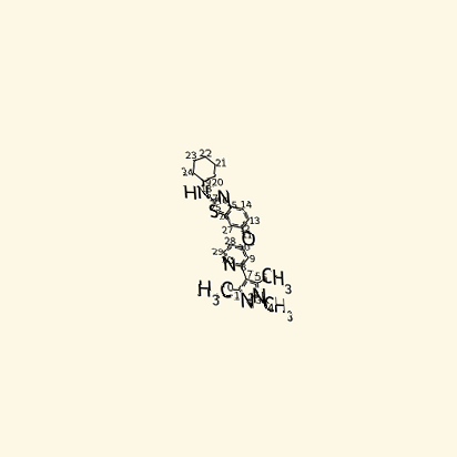 Cc1nn(C)c(C)c1-c1cc(Oc2ccc3nc(NC4CCCCC4)sc3c2)ccn1